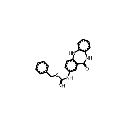 N=C(Nc1ccc2c(c1)C(=O)Nc1ccccc1N2)SCc1ccccc1